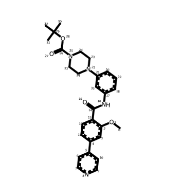 COc1cc(-c2ccncc2)ccc1C(=O)Nc1cccc(N2CCN(C(=O)OC(C)(C)C)CC2)c1